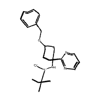 CC(C)(C)[S+]([O-])NC1(c2ncccn2)CC(OCc2ccccc2)C1